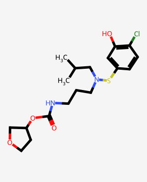 CC(C)CN(CCCNC(=O)OC1CCOC1)Sc1ccc(Cl)c(O)c1